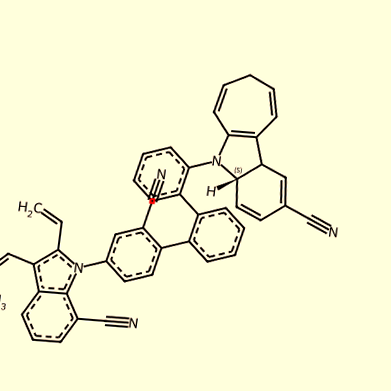 C=Cc1c(/C=C\C)c2cccc(C#N)c2n1-c1ccc(-c2ccccc2-c2ccccc2N2C3=C(C=CCC=C3)C3C=C(C#N)C=C[C@@H]32)c(C#N)c1